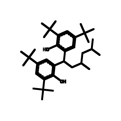 CC(C)CC(C)CC(c1cc(C(C)(C)C)cc(C(C)(C)C)c1O)c1cc(C(C)(C)C)cc(C(C)(C)C)c1O